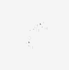 CCOC(OCC)Oc1ccc(CC2CCC(C(C)(C)c3ccc(OC(OCC)OCC)cc3)CC2)cc1